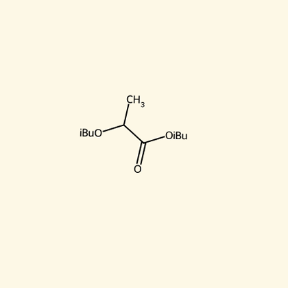 CC(C)COC(=O)C(C)OCC(C)C